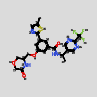 Cc1cnc(-c2cc(OCC3COCC(=O)N3)cc(C(=O)N[C@H](C)c3cnc(C(F)(F)F)nc3)c2)s1